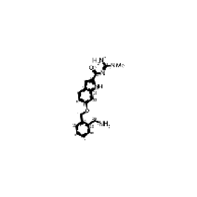 CNC(N)=NC(=O)c1cc2ccc(OCc3ccccc3CN)cc2[nH]1